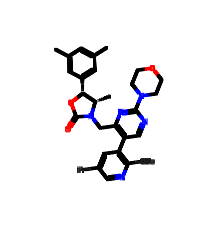 COc1ncc(C(C)C)cc1-c1cnc(N2CCOCC2)nc1CN1C(=O)O[C@H](c2cc(C)cc(C)c2)[C@@H]1C